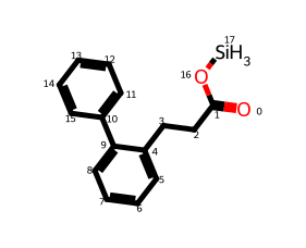 O=C(CCc1ccccc1-c1ccccc1)O[SiH3]